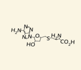 Nc1ncnc2c1ncn2C1OC(CSCCC(N)C(=O)O)CC1O